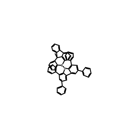 CC12c3ccccc3B(n3c4c(-c5ccccc5)cc(-c5ccccc5)cc4c4cc(-c5ccccc5)cc(-c5ccccc5)c43)c3cccc(c31)-c1ccccc12